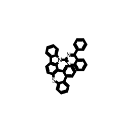 c1ccc(-c2nc(-n3c4ccccc4c4ccc5c(c43)-c3ccccc3-c3ccccc3S5)nc3ccccc23)cc1